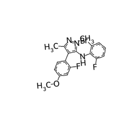 COc1ccc(-c2c(C)nn(C)c2Nc2c(F)cccc2Br)c(F)c1